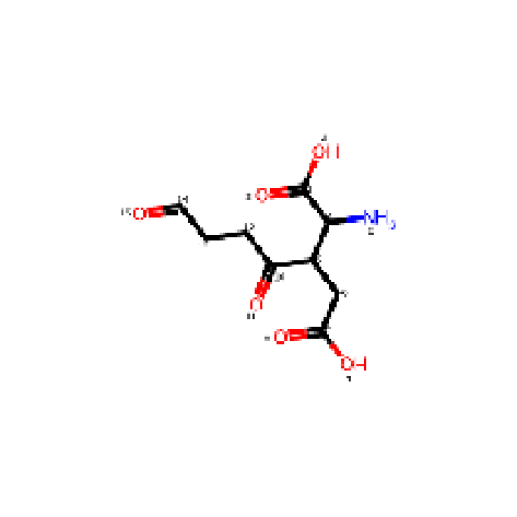 NC(C(=O)O)C(CC(=O)O)C(=O)CCC=O